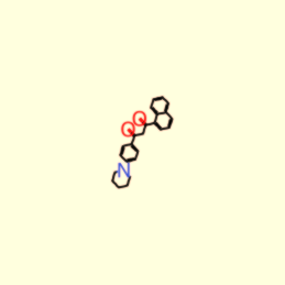 O=C(CC(=O)c1cccc2ccccc12)c1ccc(N2CCCCC2)cc1